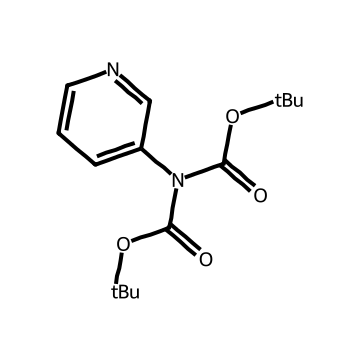 CC(C)(C)OC(=O)N(C(=O)OC(C)(C)C)c1cccnc1